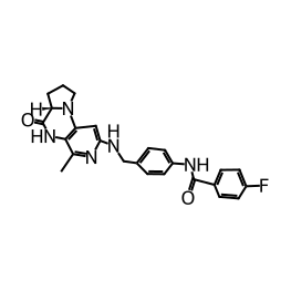 Cc1nc(NCc2ccc(NC(=O)c3ccc(F)cc3)cc2)cc2c1NC(=O)[C@@H]1CCCN21